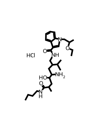 CCCCNC(=O)C(C)CC(O)C(N)CC(CNC(=O)c1cn(CC(C)OCC)c2ccccc12)C(C)C.Cl